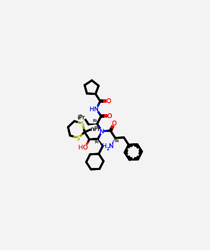 CCCC1(C(O)[C@H](CC2CCCCC2)N(C(=O)[C@@H](N)Cc2ccccc2)[C@@H](CC(C)C)C(=O)NC(=O)C2CCCC2)SCCCS1